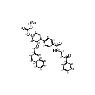 CC(C)(C)OC(=O)ON1CCC(c2ccc(C(=O)NCCC(=O)c3ccccc3)cc2)C(OCc2ccc3ccccc3c2)C1